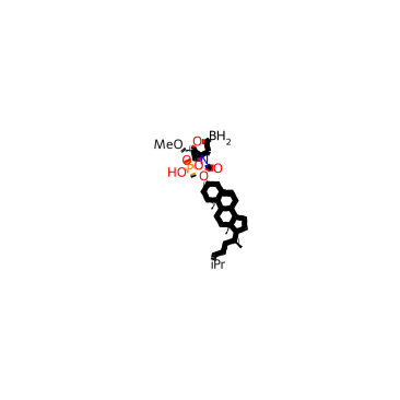 BC1O[C@]2(COC)CN(C(=O)O[C@H]3CC[C@@]4(C)C(=CCC5C6CCC([C@@H](C)CCCC(C)C)[C@@]6(C)CCC54)C3)C1C2OP(C)(=O)O